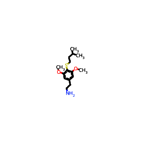 COc1cc(CCN)cc(OC)c1SCCC(C)C